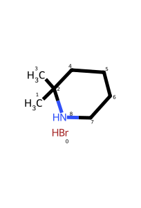 Br.CC1(C)CCCCN1